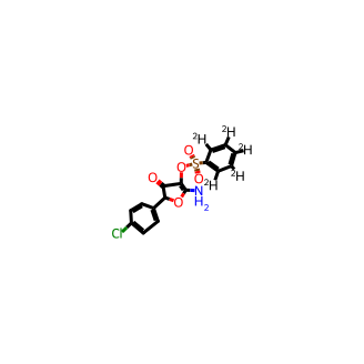 [2H]c1c([2H])c([2H])c(S(=O)(=O)OC2=C(N)OC(c3ccc(Cl)cc3)C2=O)c([2H])c1[2H]